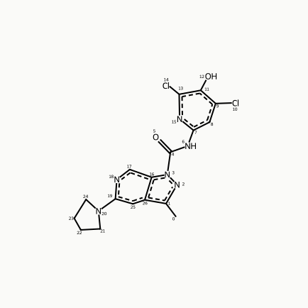 Cc1nn(C(=O)Nc2cc(Cl)c(O)c(Cl)n2)c2cnc(N3CCCC3)cc12